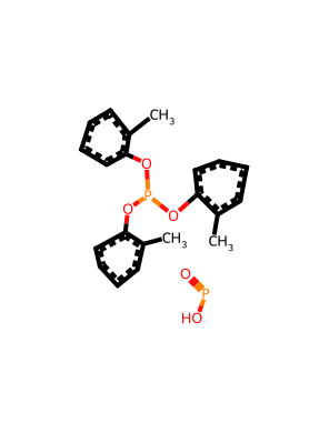 Cc1ccccc1OP(Oc1ccccc1C)Oc1ccccc1C.O=PO